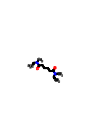 C=CN(C)C(=O)CCCCC(=O)N(C)C=C